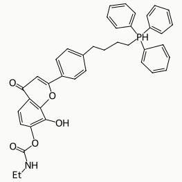 CCNC(=O)Oc1ccc2c(=O)cc(-c3ccc(CCCC[PH](c4ccccc4)(c4ccccc4)c4ccccc4)cc3)oc2c1O